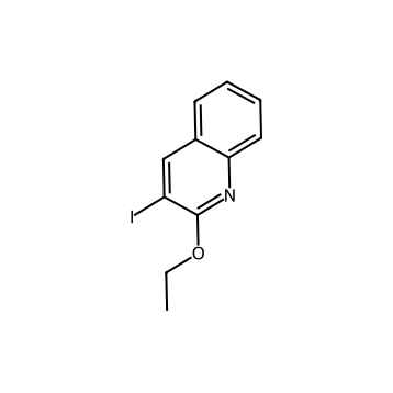 CCOc1nc2ccccc2cc1I